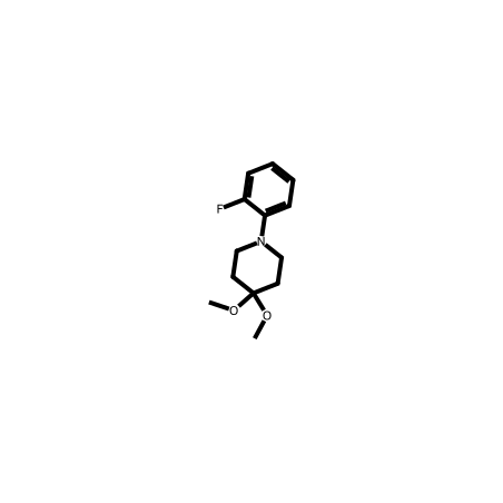 COC1(OC)CCN(c2ccccc2F)CC1